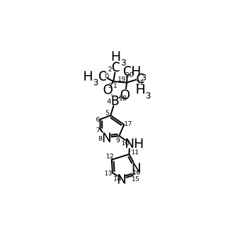 CC1(C)OB(c2ccnc(Nc3ccncn3)c2)OC1(C)C